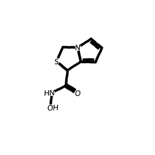 O=C(NO)C1SCn2cccc21